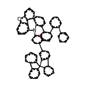 c1ccc(-c2ccccc2-c2ccccc2-c2ccccc2N(c2ccc(-c3ccc4c(c3)C3(c5ccccc5-c5ccccc53)c3ccccc3-4)cc2)c2cccc3oc4ccccc4c23)cc1